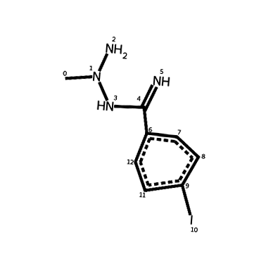 CN(N)NC(=N)c1ccc(I)cc1